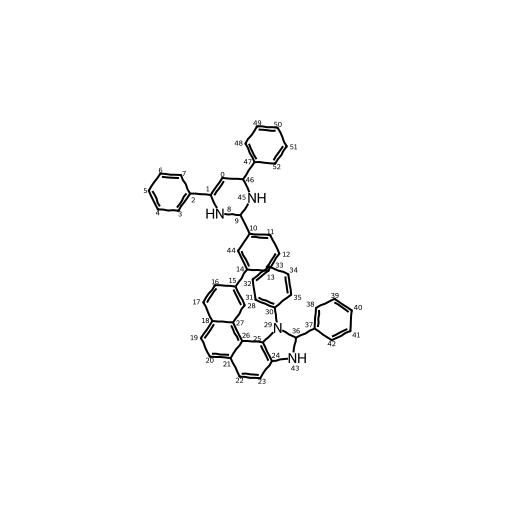 C1=C(c2ccccc2)NC(c2cccc(-c3ccc4ccc5ccc6c(c5c4c3)N(c3ccccc3)C(c3ccccc3)N6)c2)NC1c1ccccc1